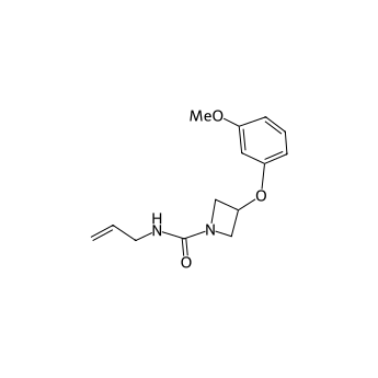 C=CCNC(=O)N1CC(Oc2cccc(OC)c2)C1